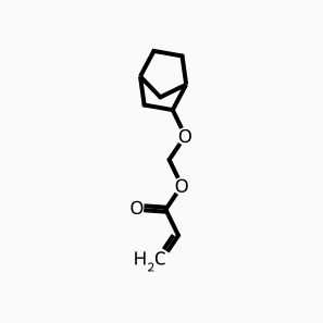 C=CC(=O)OCOC1CC2CCC1C2